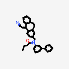 CCCC(=O)N(Cc1ccc2c(c1)CCc1ccccc1/C2=C\C#N)c1cccc(-c2ccccc2)c1